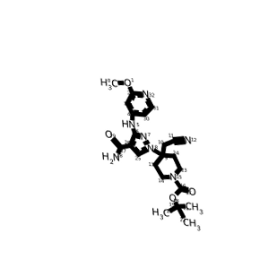 COc1cc(Nc2nn(C3(CC#N)CCN(C(=O)OC(C)(C)C)CC3)cc2C(N)=O)ccn1